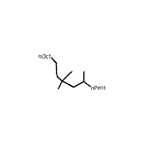 CCCCCCCCCCC(C)(C)CC(C)CCCCC